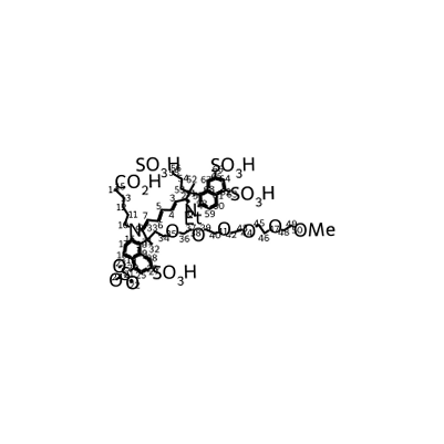 CC[N+]1=C(/C=C/C=C/C=C2/N(CCCCCC(=O)O)c3ccc4c(S(=O)(=O)[O-])cc(S(=O)(=O)O)cc4c3C2(C)CCOCCOCCOCCOCCOCCOC)C(C)(CCCS(=O)(=O)O)c2c1ccc1c(S(=O)(=O)O)cc(S(=O)(=O)O)cc21